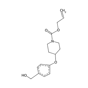 C=CCOC(=O)N1CCC(Oc2ccc(CO)cc2)CC1